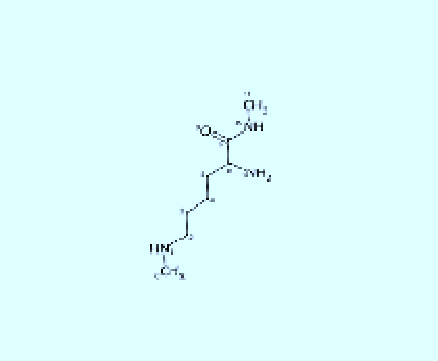 CNCCCCC(N)C(=O)NC